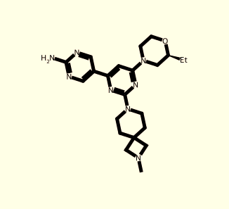 CC[C@H]1CN(c2cc(-c3cnc(N)nc3)nc(N3CCC4(CC3)CN(C)C4)n2)CCO1